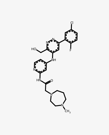 CN1CCCN(CC(=O)Nc2cc(Nc3cc(-c4cc(Cl)ccc4F)nnc3CO)ccn2)CC1